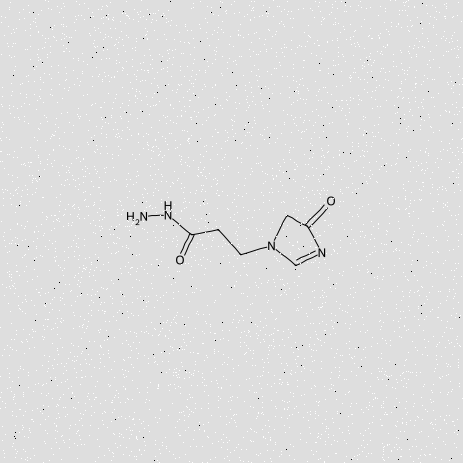 NNC(=O)CCN1C=NC(=O)C1